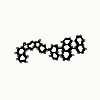 c1ccc2c(-c3c4ccccc4c(-c4ccc(-c5ccc6c(c5)oc5cc7oc8ccc9ccccc9c8c7cc56)c5ccccc45)c4ccccc34)cccc2c1